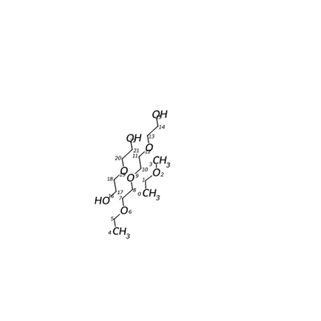 CCOC.CCOCCOCCOCCO.OCCOCCO